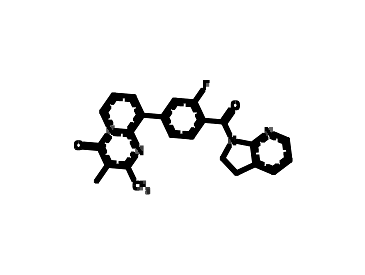 Cc1c(C(F)(F)F)nc2c(-c3ccc(C(=O)N4CCc5cccnc54)c(F)c3)cccn2c1=O